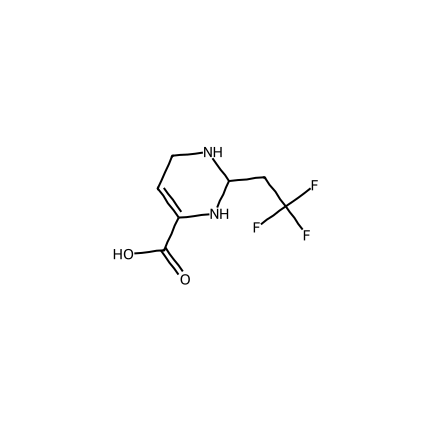 O=C(O)C1=CCNC(CC(F)(F)F)N1